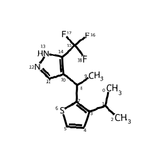 CC(C)c1ccsc1C(C)c1cn[nH]c1C(F)(F)F